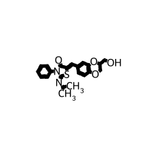 CC(C)/N=C1\S/C(=C\c2ccc3c(c2)OC(CO)CO3)C(=O)N1c1ccccc1